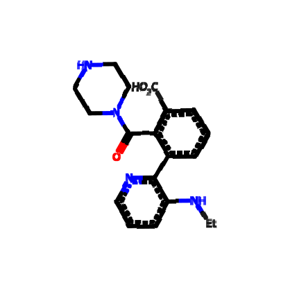 CCNc1cccnc1-c1cccc(C(=O)O)c1C(=O)N1CCNCC1